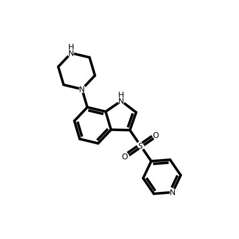 O=S(=O)(c1ccncc1)c1c[nH]c2c(N3CCNCC3)cccc12